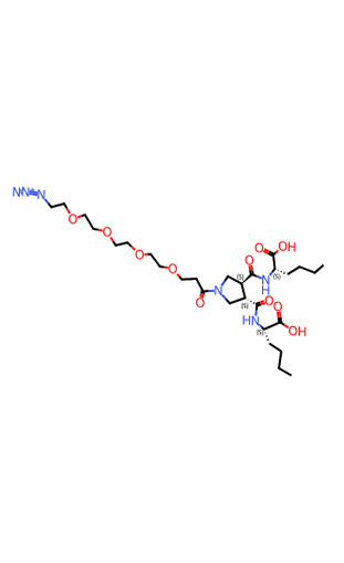 CCCC[C@H](NC(=O)[C@@H]1CN(C(=O)CCOCCOCCOCCOCCN=[N+]=[N-])C[C@H]1C(=O)N[C@@H](CCCC)C(=O)O)C(=O)O